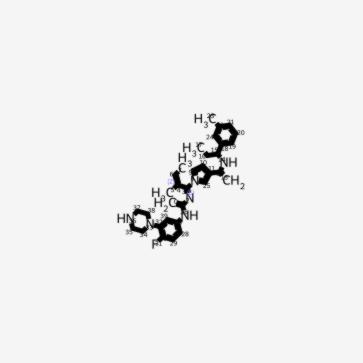 C=C(/N=C(\C(C)=C/C)n1ccc(C(=C)NC(CC)c2cccc(C)c2)c1)Nc1ccc(F)c(N2CCNCC2)c1